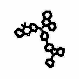 CC1(C)c2ccccc2Oc2cc(N(c3ccc(-c4ccc5c(c4)c4ccccc4n5-c4ccccc4)cc3)c3cc4ccccc4c4ccccc34)ccc21